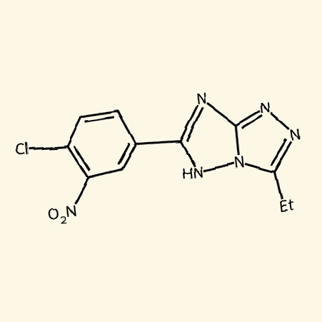 CCc1nnc2nc(-c3ccc(Cl)c([N+](=O)[O-])c3)[nH]n12